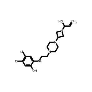 C=CC(O)N1CC(N2CCN(CCNc3cc(Cl)c(Cl)cc3O)CC2)C1